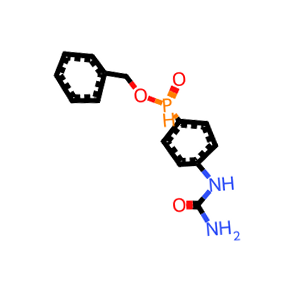 NC(=O)Nc1ccc([PH](=O)OCc2ccccc2)cc1